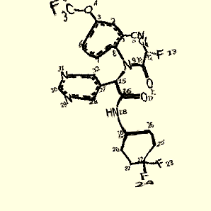 N#Cc1cc(OC(F)(F)F)ccc1N(C(=O)[C@@H](F)Cl)[C@@H](C(=O)NC1CCC(F)(F)CC1)c1cncnc1